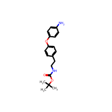 CC(C)(C)OC(=O)NCCc1ccc(Oc2ccc(N)cc2)cc1